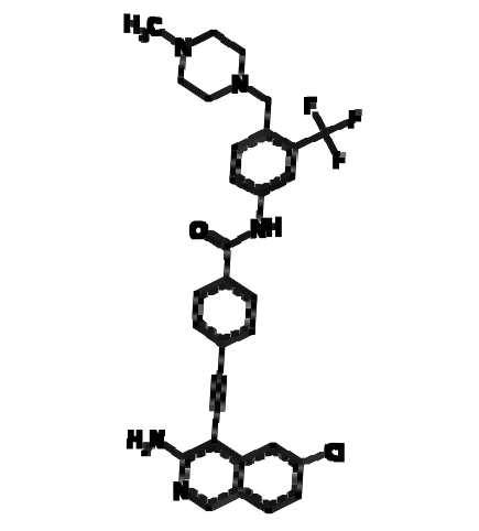 CN1CCN(Cc2ccc(NC(=O)c3ccc(C#Cc4c(N)ncc5ccc(Cl)cc45)cc3)cc2C(F)(F)F)CC1